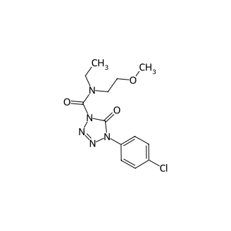 CCN(CCOC)C(=O)n1nnn(-c2ccc(Cl)cc2)c1=O